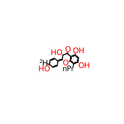 [2H]C1(O)C=CC(=C2Oc3c(CCC)c(O)cc(O)c3C(=O)C2O)C=C1